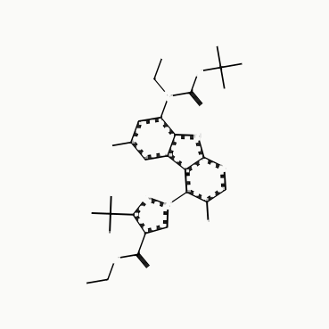 CCOC(=O)c1cn(-c2c(Cl)cnc3[nH]c4c(N(CC)C(=O)OC(C)(C)C)cc(F)cc4c23)nc1C(F)(F)F